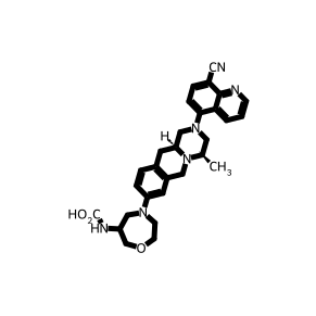 C[C@@H]1CN(c2ccc(C#N)c3ncccc23)C[C@@H]2Cc3ccc(N4CCOCC(NC(=O)O)C4)cc3CN21